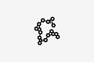 c1ccc(-n2c3ccccc3c3cc(-c4cccc(-c5ccc6c(c5)-c5cc7ccc(-c8ccc9c%10ccccc%10n(-c%10cccc(-c%11ccc%12c(c%11)-c%11cc%13c%14ccccc%14ccc%13c%13cccc-%12c%11%13)c%10)c9c8)cc7c7cccc-6c57)c4)ccc32)cc1